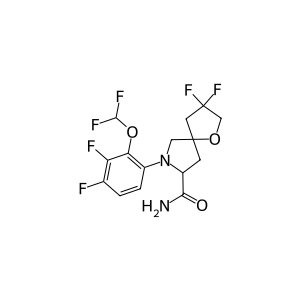 NC(=O)C1CC2(CN1c1ccc(F)c(F)c1OC(F)F)CC(F)(F)CO2